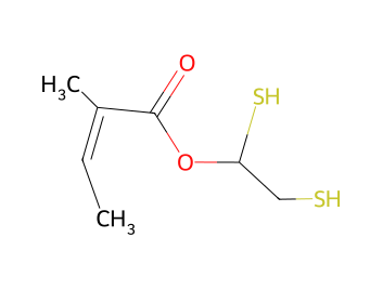 CC=C(C)C(=O)OC(S)CS